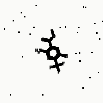 COC(=O)c1cc(Cl)c(C(F)(F)F)nc1N